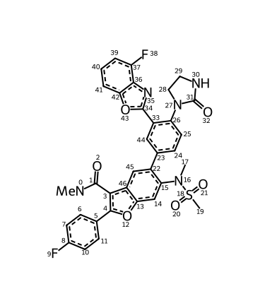 CNC(=O)c1c(-c2ccc(F)cc2)oc2cc(N(C)S(C)(=O)=O)c(-c3ccc(N4CCNC4=O)c(-c4nc5c(F)cccc5o4)c3)cc12